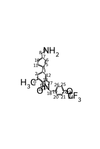 Cc1cc(-c2ccc(CN)cc2)cc2c1C(=O)N(Cc1ccc(OC(F)(F)F)cc1)C2